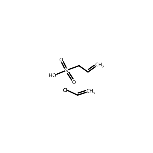 C=CCS(=O)(=O)O.C=CCl